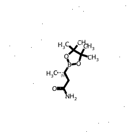 C[C@@H](CC(N)=O)B1OC(C)(C)C(C)(C)O1